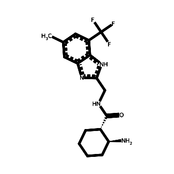 Cc1cc(C(F)(F)F)c2[nH]c(CNC(=O)[C@H]3CCCC[C@@H]3N)nc2c1